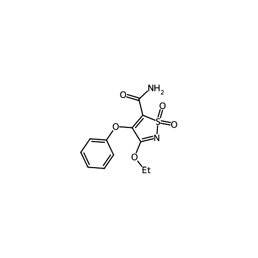 CCOC1=NS(=O)(=O)C(C(N)=O)=C1Oc1ccccc1